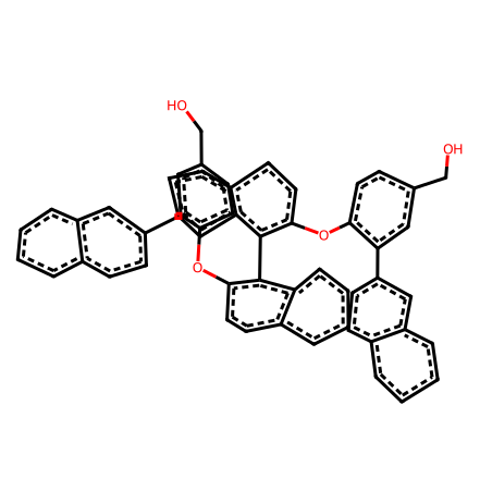 OCc1ccc(Oc2ccc3ccccc3c2-c2c(Oc3ccc(CO)cc3-c3ccc4ccccc4c3)ccc3ccccc23)c(-c2ccc3ccccc3c2)c1